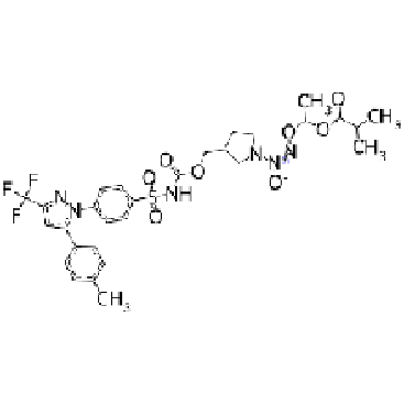 Cc1ccc(-c2cc(C(F)(F)F)nn2-c2ccc(S(=O)(=O)NC(=O)OCC3CCN(/[N+]([O-])=N\OC(C)OC(=O)C(C)C)C3)cc2)cc1